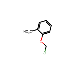 O=C(O)c1ccccc1OCCl